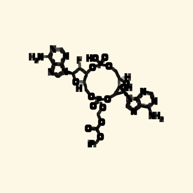 CC(C)OC(=O)OCOP1(=O)OC[C@H]2O[C@@H](n3cnc4c(N)ncnc43)C(F)C2OP(=O)(O)OC[C@H]2O[C@@H](n3cnc4c(N)ncnc43)C(O1)C2O